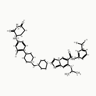 CC(C)Oc1cc2nc([C@H]3CC[C@H](CN4CCC(c5ccc(NC6CCC(=O)NC6=O)cc5F)CC4)CC3)cn2cc1C(=O)Nc1cccc(C(F)F)n1